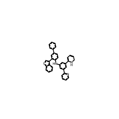 C1=CCNC(c2cc(Nc3ccc(-c4ccccc4)cc3-c3csc4ccccc34)cc(-c3ccccn3)c2)=C1